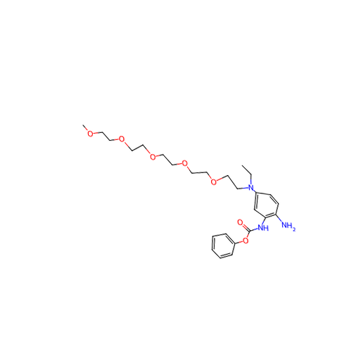 CCN(CCOCCOCCOCCOCCOC)c1ccc(N)c(NC(=O)Oc2ccccc2)c1